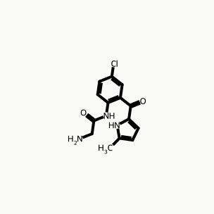 Cc1ccc(C(=O)c2cc(Cl)ccc2NC(=O)CN)[nH]1